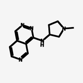 CN1CCC(Nc2nncc3ccncc23)C1